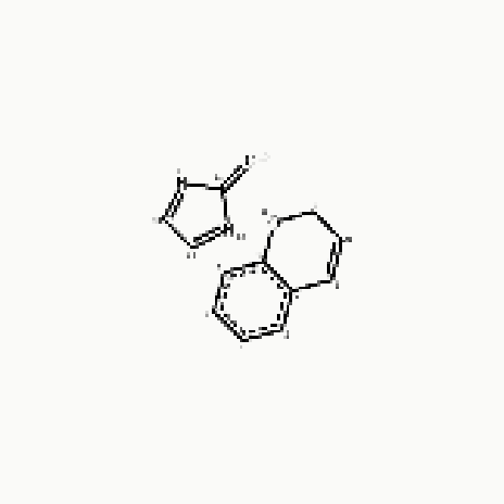 C1=Cc2ccccc2OC1.O=C1N=CC=N1